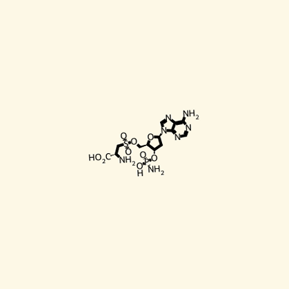 Nc1ncnc2c1ncn2[C@H]1C[C@H](OP(N)(=O)O)[C@@H](COS(=O)(=O)C[C@H](N)C(=O)O)O1